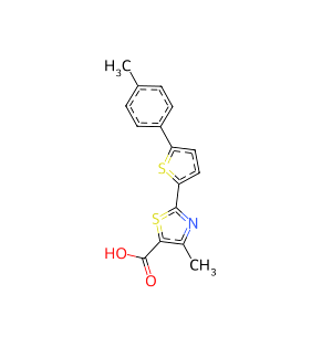 Cc1ccc(-c2ccc(-c3nc(C)c(C(=O)O)s3)s2)cc1